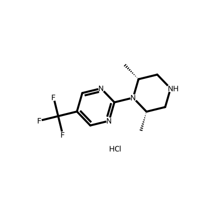 C[C@@H]1CNC[C@H](C)N1c1ncc(C(F)(F)F)cn1.Cl